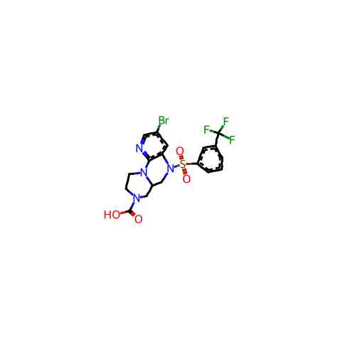 O=C(O)N1CCN2c3ncc(Br)cc3N(S(=O)(=O)c3cccc(C(F)(F)F)c3)CC2C1